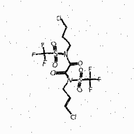 O=C(C(=O)N(CCCCl)S(=O)(=O)C(F)(F)F)N(CCCCl)S(=O)(=O)C(F)(F)F